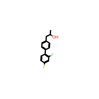 CC(O)Cc1ccc(-c2ccc(F)cc2F)cc1